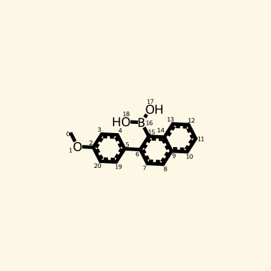 COc1ccc(-c2ccc3ccccc3c2B(O)O)cc1